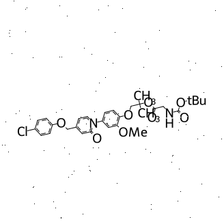 COc1cc(-n2ccc(COc3ccc(Cl)cc3)cc2=O)ccc1OCC(C)(C)OC(=O)CNC(=O)OC(C)(C)C